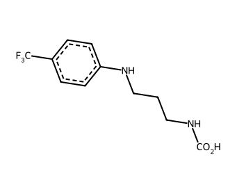 O=C(O)NCCCNc1ccc(C(F)(F)F)cc1